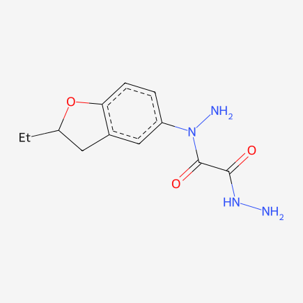 CCC1Cc2cc(N(N)C(=O)C(=O)NN)ccc2O1